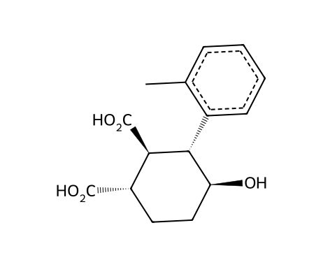 Cc1ccccc1[C@H]1[C@H](C(=O)O)[C@@H](C(=O)O)CC[C@@H]1O